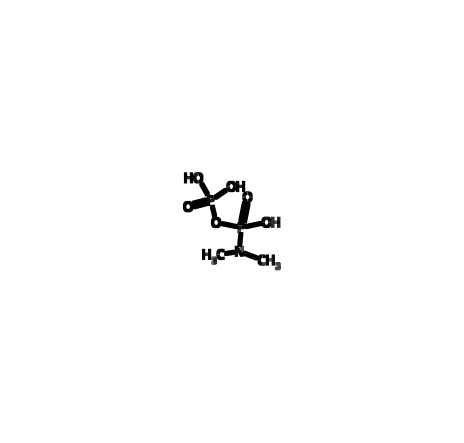 CN(C)P(=O)(O)OP(=O)(O)O